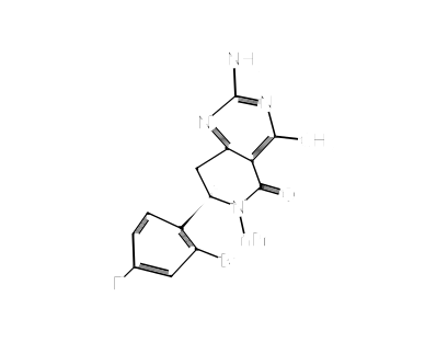 [CH2]CCN1C(=O)c2c(C)nc(N)nc2C[C@@H]1c1ccc(F)cc1Br